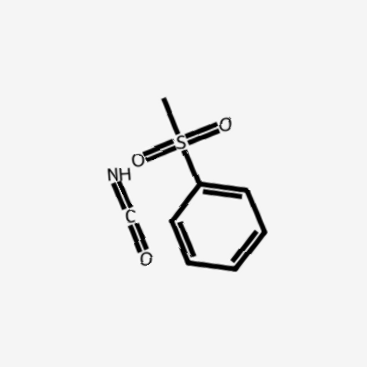 CS(=O)(=O)c1ccccc1.N=C=O